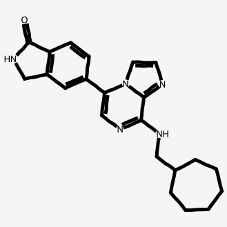 O=C1NCc2cc(-c3cnc(NCC4CCCCCC4)c4nccn34)ccc21